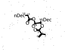 C=C(C)C(=O)OC(CCCCCCCCCC)C(=O)OC(=O)CCCCCCCCCCC